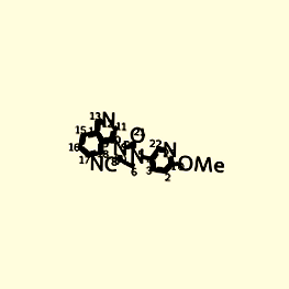 COc1ccc(N2C[C@H](C#N)N(c3cncc4ccccc34)C2=O)cn1